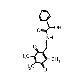 CC1=C(C)C(=O)C(CCNC(=O)C(O)c2ccccc2)=C(C)C1=O